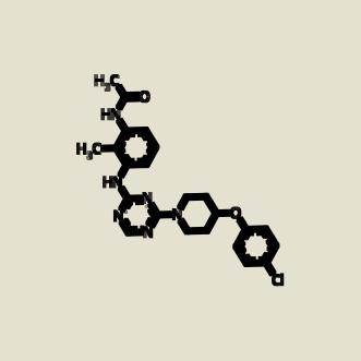 CC(=O)Nc1cccc(Nc2ncnc(N3CCC(Oc4ccc(Cl)cc4)CC3)n2)c1C